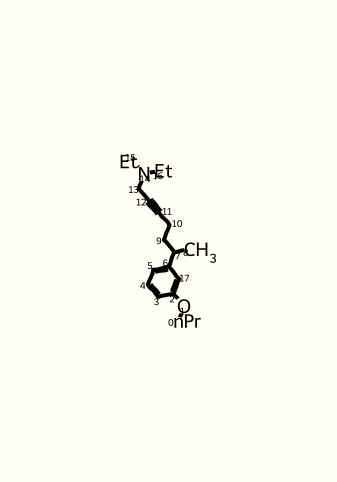 CCCOc1cccc(C(C)CCC#CCN(CC)CC)c1